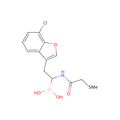 CSCC(=O)NC(Cc1coc2c(Cl)cccc12)B(O)O